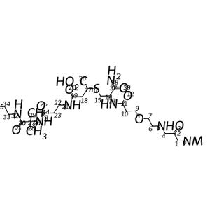 CNCC(=O)CNCCOCCC(=O)NC(CSC(CC(=O)NCCC(=O)NC(C)(C)C(=O)NCCO)C(=O)O)C(N)=O